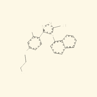 OCCOc1ccc(-c2nnc(S)n2-c2cccc3ccccc23)c(O)c1